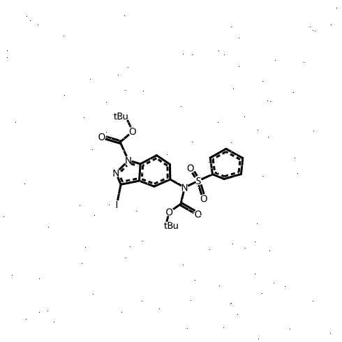 CC(C)(C)OC(=O)N(c1ccc2c(c1)c(I)nn2C(=O)OC(C)(C)C)S(=O)(=O)c1ccccc1